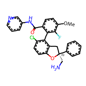 COc1ccc(C(=O)Nc2cccnc2)c(-c2c(Cl)ccc3c2C[C@@](CN)(c2ccccc2)O3)c1F